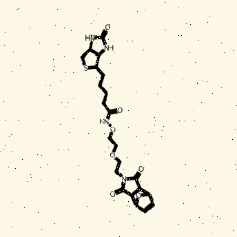 O=C(CCCCC1SCC2NC(=O)NC21)NOCCOCCN1C(=O)C2C3C=CC(O3)C2C1=O